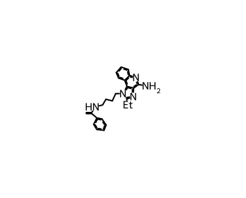 C=C(NCCCCn1c(CC)nc2c(N)nc3ccccc3c21)c1ccccc1